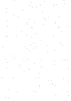 CC(C)C(C)(C#N)NC(=O)Cn1nc(-c2ccc(OC(F)F)nc2)ccc1=O